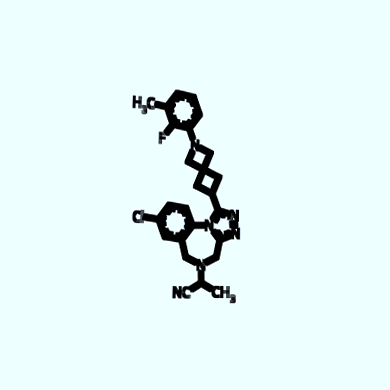 Cc1cccc(N2CC3(CC(c4nnc5n4-c4ccc(Cl)cc4CN(C(C)C#N)C5)C3)C2)c1F